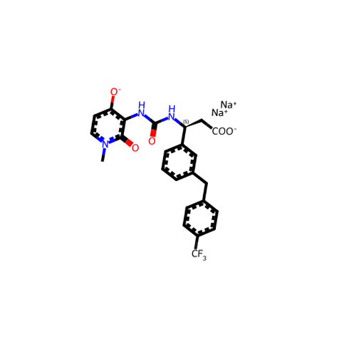 Cn1ccc([O-])c(NC(=O)N[C@@H](CC(=O)[O-])c2cccc(Cc3ccc(C(F)(F)F)cc3)c2)c1=O.[Na+].[Na+]